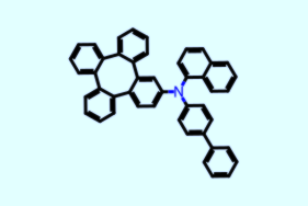 c1ccc(-c2ccc(N(c3ccc4c(c3)-c3ccccc3-c3ccccc3-c3ccccc3-4)c3cccc4ccccc34)cc2)cc1